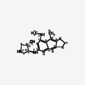 CNc1cc(N[C@H]2CNC[C@@H]2O)nc2nc3c(c(C)c12)CCC3